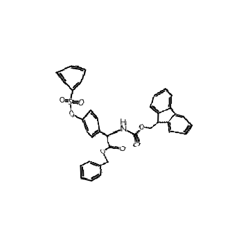 O=C(NC(C(=O)OCc1ccccc1)c1ccc(OS(=O)(=O)c2ccccc2)cc1)OCC1c2ccccc2-c2ccccc21